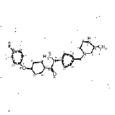 C[C@H]1CN(Cc2ccc(N(C)C(=O)C3CCC(Oc4ccc(F)cc4)CC3)cc2)CCN1